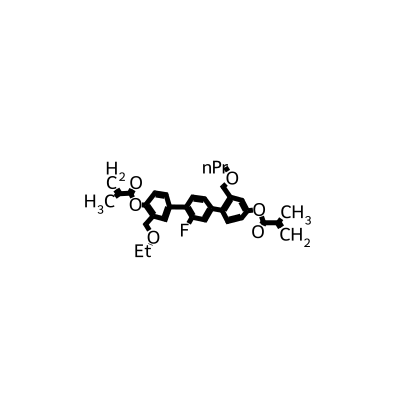 C=C(C)C(=O)Oc1ccc(-c2ccc(-c3ccc(OC(=O)C(=C)C)c(COCC)c3)c(F)c2)c(COCCC)c1